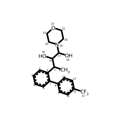 CC(c1ccccc1-c1ccc(C(F)(F)F)cc1)C(O)C(O)N1CCOCC1